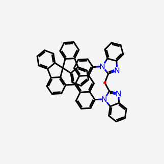 Cc1nc2ccccc2n1-c1cccc2c(-c3cccc4c3C3(c5ccccc5-c5ccccc53)c3ccccc3-4)c3cccc(-n4c(C)nc5ccccc54)c3cc12